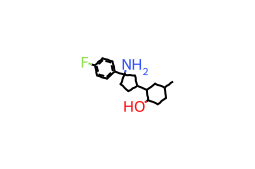 CC1CCC(O)C(C2CCC(N)(c3ccc(F)cc3)C2)C1